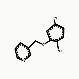 N#Cc1ccc(N)c(OCc2cccnc2)c1